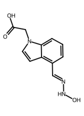 O=C(O)Cn1ccc2c(C=NNO)cccc21